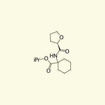 CC(C)OC(=O)C1(NC(=O)[C@H]2CCCO2)CCCCC1